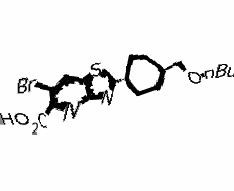 CCCCOC[C@H]1CC[C@H](c2nc3nc(C(=O)O)c(Br)cc3s2)CC1